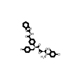 NN(C(=O)[C@H]1O[C@@H]1C(=O)N(Cc1ccc(F)cc1)c1ccc(C(=O)Nc2nc3ccccc3s2)cc1)c1ccc(Cl)cc1Cl